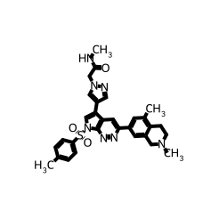 CNC(=O)Cn1cc(-c2cn(S(=O)(=O)c3ccc(C)cc3)c3nnc(-c4cc(C)c5c(c4)CN(C)CC5)cc23)cn1